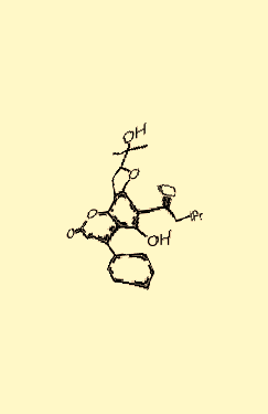 CC(C)CC(=O)c1c2c(c3oc(=O)cc(-c4ccccc4)c3c1O)CC(C(C)(C)O)O2